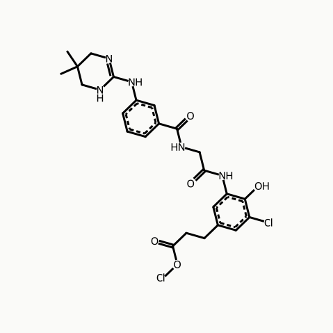 CC1(C)CN=C(Nc2cccc(C(=O)NCC(=O)Nc3cc(CCC(=O)OCl)cc(Cl)c3O)c2)NC1